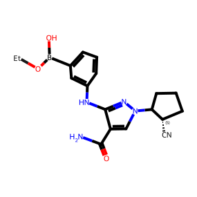 CCOB(O)c1cccc(Nc2nn(C3CCC[C@@H]3C#N)cc2C(N)=O)c1